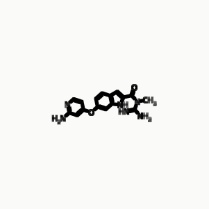 CN(C(=N)N)C(=O)c1cc2ccc(Oc3ccnc(N)c3)cc2[nH]1